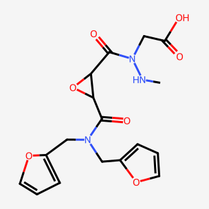 CNN(CC(=O)O)C(=O)C1OC1C(=O)N(Cc1ccco1)Cc1ccco1